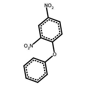 O=[N+]([O-])c1ccc(Oc2ccccc2)c([N+](=O)[O-])c1